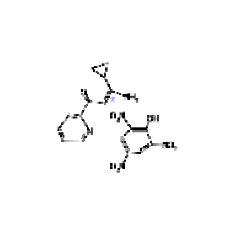 N/C(=C/C(=O)c1ccccn1)C1CC1.O=[N+]([O-])c1cc([N+](=O)[O-])c(O)c([N+](=O)[O-])c1